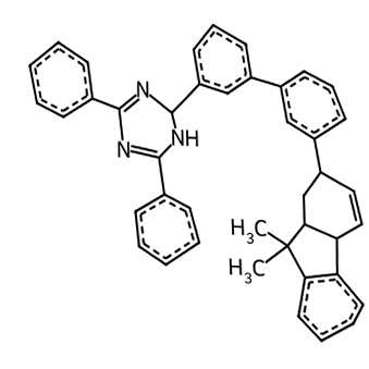 CC1(C)c2ccccc2C2C=CC(c3cccc(-c4cccc(C5N=C(c6ccccc6)N=C(c6ccccc6)N5)c4)c3)CC21